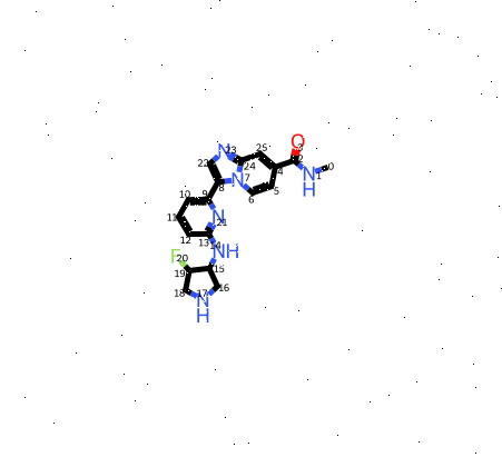 CNC(=O)c1ccn2c(-c3cccc(NC4CNCC4F)n3)cnc2c1